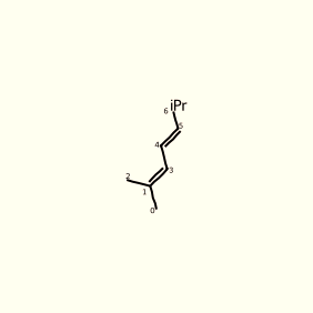 CC(C)=C/C=C/C(C)C